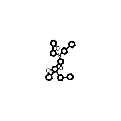 c1ccc(-c2ccc(N(c3ccc4oc5c(-c6cccc(-c7ccccc7)c6)c6c(cc5c4c3)oc3ccccc36)c3cccc4c3oc3ccccc34)cc2)cc1